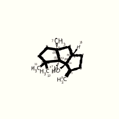 C=C1CC[C@H]2C[C@]3(C)CCC(C)(C)[C@@H]3[C@@]12O